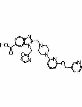 O=C(O)c1ccc2nc(CN3CCN(c4cccc(OCc5cccnc5)n4)CC3)n(Cc3ncco3)c2c1